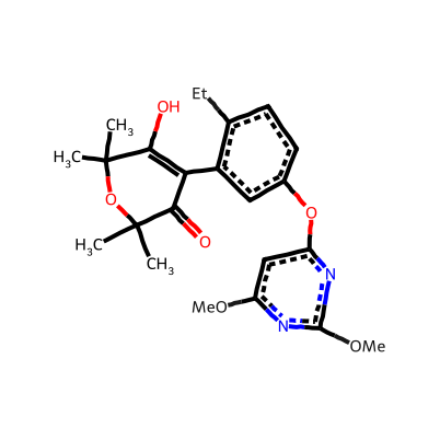 CCc1ccc(Oc2cc(OC)nc(OC)n2)cc1C1=C(O)C(C)(C)OC(C)(C)C1=O